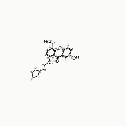 O=c1c2cc(O)ccc2oc2c(CO)ccc(NCCN3CCCC3)c12